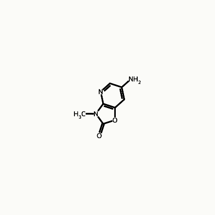 Cn1c(=O)oc2cc(N)cnc21